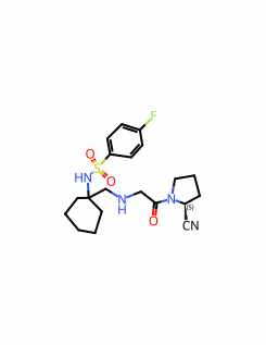 N#C[C@@H]1CCCN1C(=O)CNCC1(NS(=O)(=O)c2ccc(F)cc2)CCCCC1